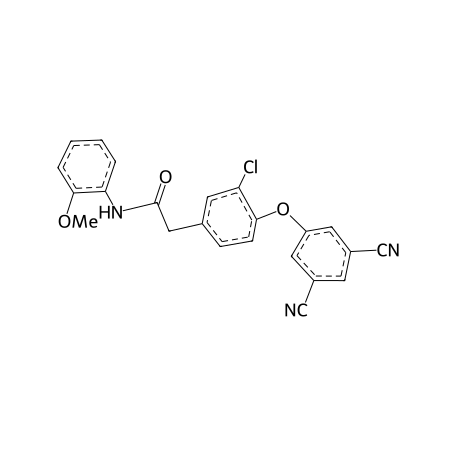 COc1ccccc1NC(=O)Cc1ccc(Oc2cc(C#N)cc(C#N)c2)c(Cl)c1